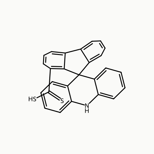 S=C(S)c1cccc2c1C1(c3ccccc3Nc3ccccc31)c1ccccc1-2